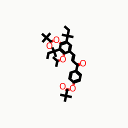 CCC(C)(C)c1cc(C=CC(=O)c2ccc(OC(=O)C(C)(C)C)cc2)c(OC(C)C)c(C(C)(C)CC)c1OC(=O)C(C)(C)C